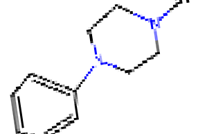 [2H]N1CCN(c2ccccc2)CC1